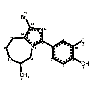 C[C@@H]1Cn2c(-c3ccc(O)c(Cl)c3)nc(Br)c2CCO1